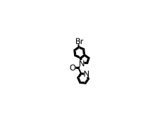 O=C(c1ccccn1)n1ccc2cc(Br)ccc21